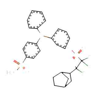 CS(=O)(=O)c1ccc([S+](c2ccccc2)c2ccccc2)cc1.O=S(=O)([O-])C(F)(F)C(F)(F)C1CC2CCC1C2